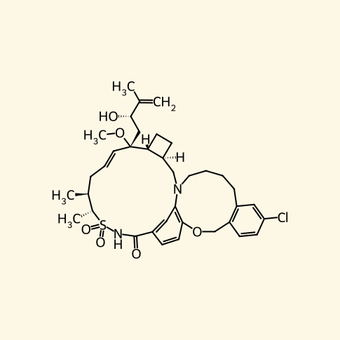 C=C(C)[C@@H](O)C[C@]1(OC)/C=C/C[C@H](C)[C@@H](C)S(=O)(=O)NC(=O)c2ccc3c(c2)N(CCCCc2cc(Cl)ccc2CO3)C[C@@H]2CC[C@H]21